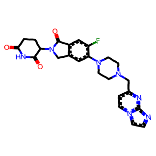 O=C1CCC(N2Cc3cc(N4CCN(Cc5ccn6ccnc6n5)CC4)c(F)cc3C2=O)C(=O)N1